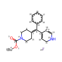 CC(C)(C)OC(=O)N1CCC(=C(C2=CCNC=[C+]2)c2ccccc2)CC1.[I-]